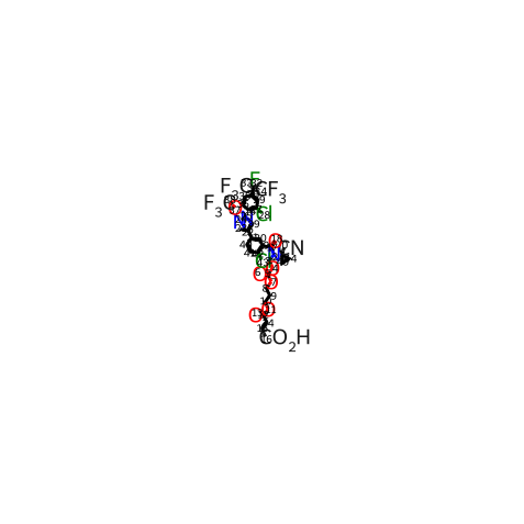 N#CC1(N(COC(=O)OCCCOC(=O)/C=C/C(=O)O)C(=O)c2cc(-c3cnn(-c4c(Cl)cc(C(F)(C(F)(F)F)C(F)(F)F)cc4OC(F)(F)F)c3)ccc2Cl)CC1